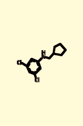 Clc1cc(Cl)cc(NCC2CCCC2)c1